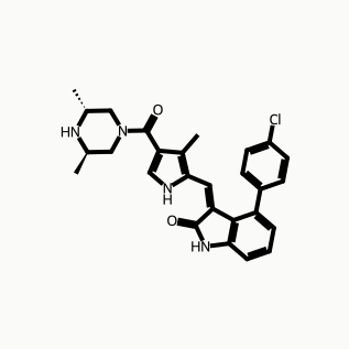 Cc1c(C(=O)N2C[C@@H](C)N[C@H](C)C2)c[nH]c1C=C1C(=O)Nc2cccc(-c3ccc(Cl)cc3)c21